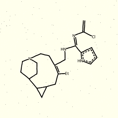 C=C(Cl)/N=C(/NC/C1=C(\CC)CC2CC2C2CCN(CC1)CC2)c1ccc[nH]1